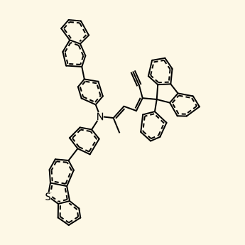 C#C/C(=C\C=C(/C)N(c1ccc(-c2ccc3ccccc3c2)cc1)c1ccc(-c2ccc3sc4ccccc4c3c2)cc1)C1(c2ccccc2)c2ccccc2-c2ccccc21